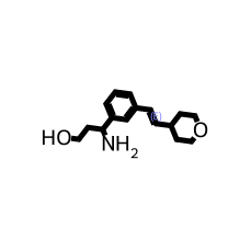 NC(CCO)c1cccc(/C=C/C2CCOCC2)c1